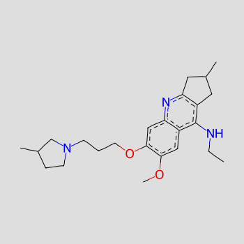 CCNc1c2c(nc3cc(OCCCN4CCC(C)C4)c(OC)cc13)CC(C)C2